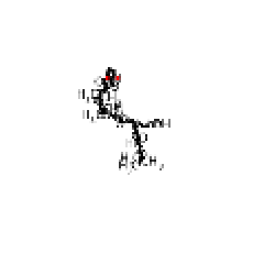 CCC(C)(C)OCCNC(=O)OCCN(CCC#[N+]O)CCOC(=O)NCCOC(C)(C)CCOC(C)(C)CCN1C(=O)C2C3C=C[C@H](O3)[C@@H]2C1=O